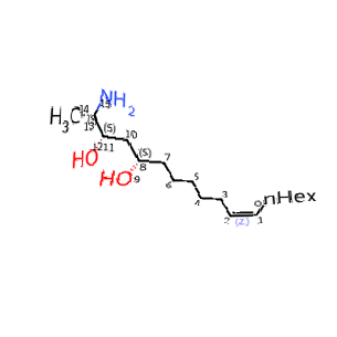 CCCCCC/C=C\CCCCC[C@H](O)C[C@H](O)[C@H](C)N